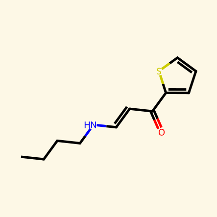 CCCCNC=CC(=O)c1cccs1